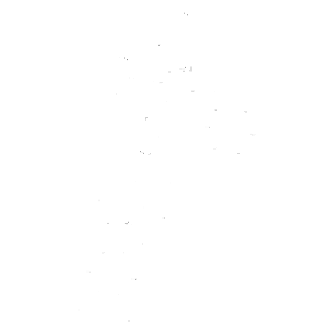 N#Cc1cnc2ccc(CNC(=O)c3cccn(Cc4ccc(F)c(F)c4)c3=O)cc2c1NCCc1ccccc1